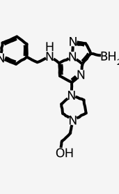 Bc1cnn2c(NCc3cccnc3)cc(N3CCN(CCO)CC3)nc12